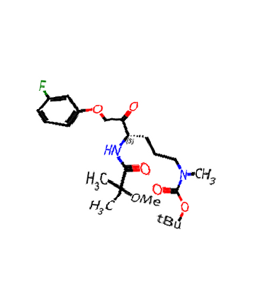 COC(C)(C)C(=O)N[C@@H](CCCN(C)C(=O)OC(C)(C)C)C(=O)COc1cccc(F)c1